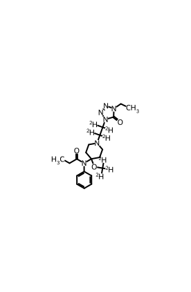 [2H]C([2H])([2H])OC1(N(C(=O)CC)c2ccccc2)CCN(C([2H])([2H])C([2H])([2H])n2nnn(CC)c2=O)CC1